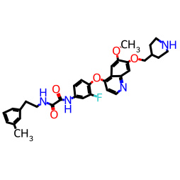 COc1cc2c(Oc3ccc(NC(=O)C(=O)NCCc4cccc(C)c4)cc3F)ccnc2cc1OCC1CCNCC1